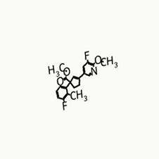 COC(=O)C1(c2cccc(F)c2C)C=C(c2cnc(OC)c(F)c2)CC1